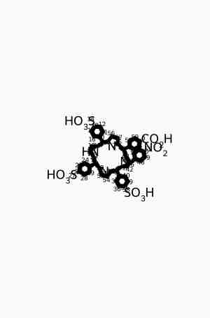 O=C(O)c1ccc(-c2c3nc(c(-c4ccc(S(=O)(=O)O)cc4)c4ccc([nH]4)c(-c4ccc(S(=O)(=O)O)cc4)c4nc(c(-c5ccc(S(=O)(=O)O)cc5)c5ccc2n5Cc2ccc([N+](=O)[O-])cc2)C=C4)C=C3)cc1